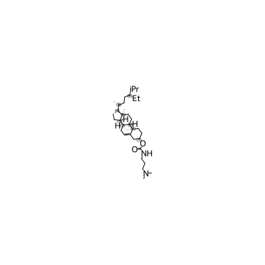 CC[C@H](CC[C@@H](C)[C@H]1CC[C@H]2[C@@H]3CC=C4C[C@@H](OC(=O)NCCCN(C)C)CC[C@]4(C)[C@H]3CC[C@]12C)C(C)C